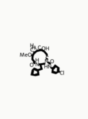 CO[C@@H]1CC(=O)NC(Cc2ccccc2)CN(C(=O)Nc2ccc(Cl)cc2)CCC[C@@](C)(O)C[C@H]1C